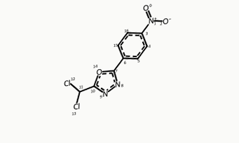 O=[N+]([O-])c1ccc(-c2nnc(C(Cl)Cl)o2)cc1